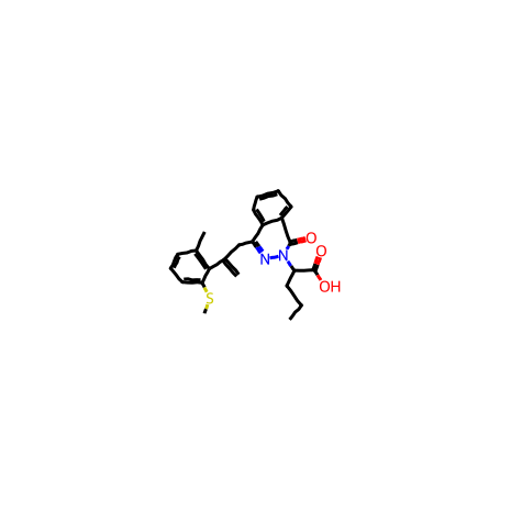 C=C(Cc1nn(C(CCC)C(=O)O)c(=O)c2ccccc12)c1c(C)cccc1SC